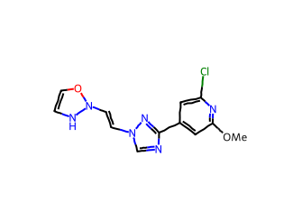 COc1cc(-c2ncn(C=CN3NC=CO3)n2)cc(Cl)n1